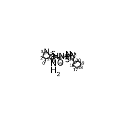 Cc1ccnc2sc(C(=O)Nc3nnc(-c4ccccc4)s3)c(N)c12